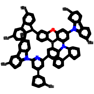 CC(C)(C)c1cccc(-c2cc(-c3ccc4c(c3)B3c5ccc(C6c7ccc(C(C)(C)C)cc7-c7cc(C(C)(C)C)ccc76)cc5Oc5cc(-n6c7cc(C(C)(C)C)ccc7c7ccc(C(C)(C)C)cc76)cc(c53)N4c3ccccc3-c3ccccc3)nc(-n3c4ccc(C(C)(C)C)cc4c4cc(C(C)(C)C)ccc43)c2)c1